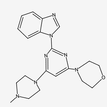 CN1CCN(c2cc(N3CCOCC3)nc(-n3cnc4ccccc43)n2)CC1